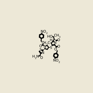 C[C@@H](O)[C@H]1C(=O)N2C(C(=O)OCc3ccc([N+](=O)[O-])cc3)=C(S[C@H]3C[C@@H](c4nc(C(N)=O)cs4)N(C(=O)OCc4ccc([N+](=O)[O-])cc4)C3)[C@H](C)[C@H]12